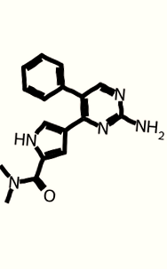 CN(C)C(=O)c1cc(-c2nc(N)ncc2-c2ccccc2)c[nH]1